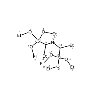 CCO[Si](OCC)(OCC)C(CC)[N]C(CC)[Si](OCC)(OCC)OCC